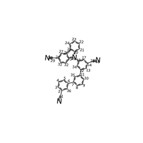 N#Cc1cccc(-c2cccc(-c3cc(C#N)cc(-n4c5ccccc5c5cc(C#N)ccc54)c3)c2)c1